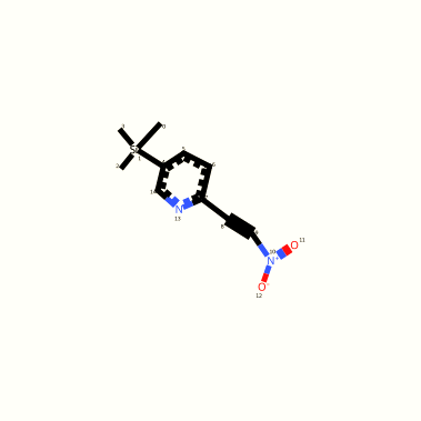 C[Si](C)(C)c1ccc(C#C[N+](=O)[O-])nc1